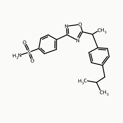 CC(C)Cc1ccc(C(C)c2nc(-c3ccc(S(N)(=O)=O)cc3)no2)cc1